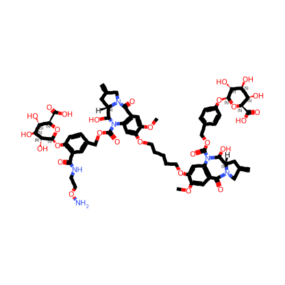 C=C1C[C@H]2C(O)N(C(=O)OCc3ccc(O[C@@H]4O[C@H](C(=O)O)[C@@H](O)[C@H](O)[C@H]4O)cc3)c3cc(OCCCCCOc4cc5c(cc4OC)C(=O)N4CC(=C)C[C@H]4C(O)N5C(=O)OCc4ccc(O[C@@H]5O[C@H](C(=O)O)[C@@H](O)[C@H](O)[C@H]5O)c(C(=O)NCCON)c4)c(OC)cc3C(=O)N2C1